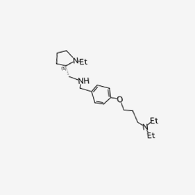 CCN(CC)CCCOc1ccc(CNC[C@@H]2CCCN2CC)cc1